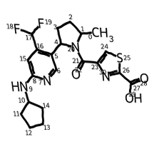 CC1CCC(c2cnc(NC3CCCC3)cc2C(F)F)N1C(=O)c1csc(C(=O)O)n1